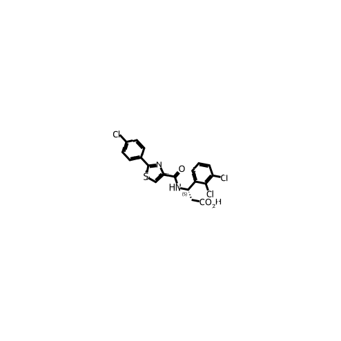 O=C(O)C[C@H](NC(=O)c1csc(-c2ccc(Cl)cc2)n1)c1cccc(Cl)c1Cl